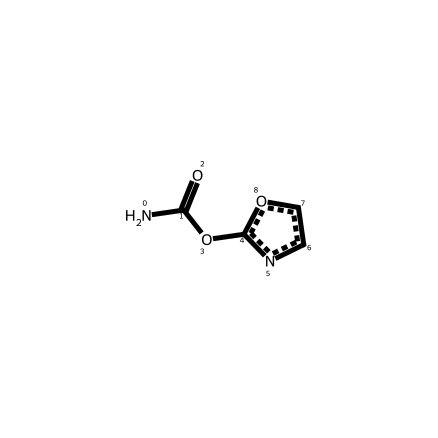 NC(=O)Oc1ncco1